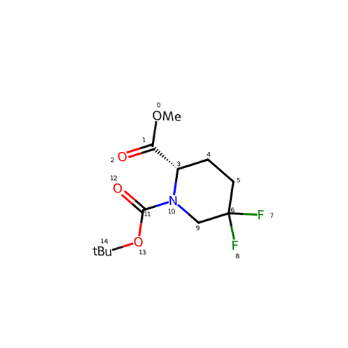 COC(=O)[C@@H]1CCC(F)(F)CN1C(=O)OC(C)(C)C